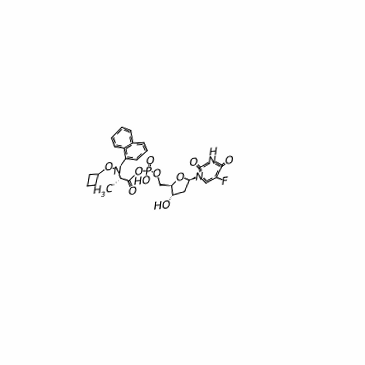 C[C@@H](C(=O)OP(=O)(O)OC[C@H]1O[C@@H](n2cc(F)c(=O)[nH]c2=O)C[C@@H]1O)N(OC1CCC1)c1cccc2ccccc12